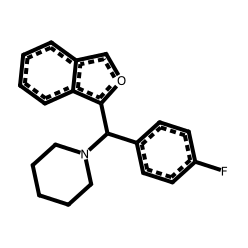 Fc1ccc(C(c2occ3ccccc23)N2CCCCC2)cc1